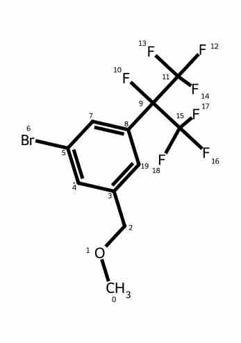 COCc1[c]c(Br)cc(C(F)(C(F)(F)F)C(F)(F)F)c1